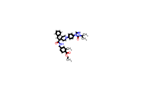 CCOC(=O)c1ccc(CNC(=O)C(Cc2ccccc2)C2CCN(c3ccc(-n4cnn(C(C)C)c4=O)cc3)CC2)cc1C